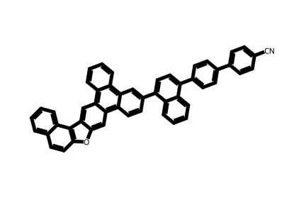 N#Cc1ccc(-c2ccc(-c3ccc(-c4ccc5c(c4)c4ccccc4c4cc6c(cc54)oc4ccc5ccccc5c46)c4ccccc34)cc2)cc1